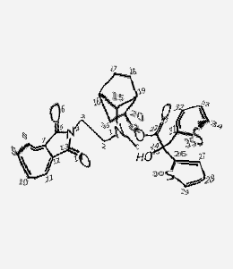 CN(CCN1C(=O)c2ccccc2C1=O)C1C2CCC1C(OC(=O)C(O)(c1cccs1)c1cccs1)C2